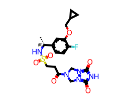 C[C@@H](NS(=O)(=O)CCC(=O)N1Cn2c(=O)[nH]c(=O)n2C1)c1ccc(F)c(OCC2CC2)c1